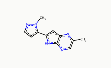 Cc1cnc2[nH]c(-c3ccnn3C)cc2n1